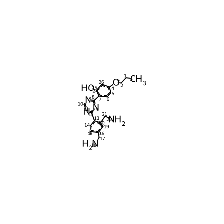 CCCOc1ccc(-c2ncnc(-c3ccc(CN)cc3CN)n2)c(O)c1